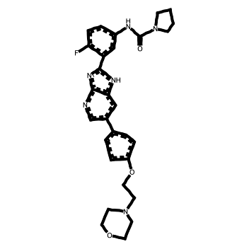 O=C(Nc1ccc(F)c(-c2nc3ncc(-c4ccc(OCCN5CCOCC5)cc4)cc3[nH]2)c1)N1CCCC1